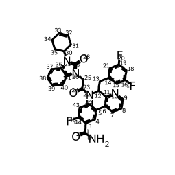 NC(=O)c1cc(-c2cccnc2C(Cc2cc(F)cc(F)c2)NC(=O)Cn2c(=O)n(C3CC=CCC3)c3ccccc32)ccc1F